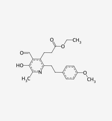 CCOC(=O)CCc1c(CCc2ccc(OC)cc2)nc(C)c(O)c1C=O